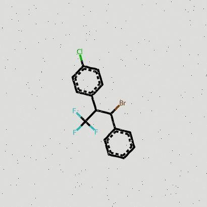 FC(F)(F)C(c1ccc(Cl)cc1)C(Br)c1ccccc1